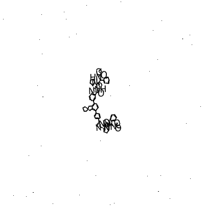 COC(=O)NC(C(=O)N1CCC[C@H]1c1ncc(-c2ccc(-c3ccc(-c4ccc5nc([C@@H]6CCCN6C(=O)[C@@H](NC(=O)OC)c6ccccc6)[nH]c(=O)c5c4)c4c3CC3(CCCC3)C4)cc2)[nH]1)c1ccccc1